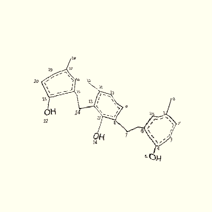 Cc1ccc(O)c(Cc2ccc(C)c(Cc3cc(C)ccc3O)c2O)c1